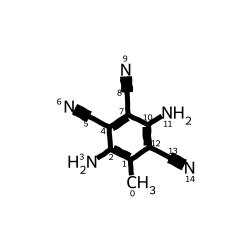 Cc1c(N)c(C#N)c(C#N)c(N)c1C#N